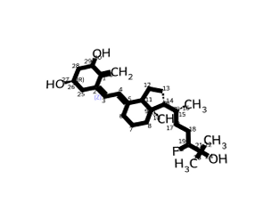 C=C1/C(=C\C=C2CCC[C@@]3(C)C2CC[C@@H]3[C@H](C)CCC(F)C(C)(C)O)C[C@@H](O)CC1O